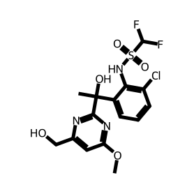 COc1cc(CO)nc(C(C)(O)c2cccc(Cl)c2NS(=O)(=O)C(F)F)n1